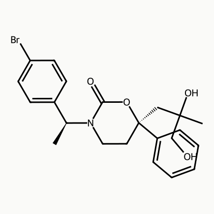 C[C@@H](c1ccc(Br)cc1)N1CC[C@](CC(C)(O)CO)(c2ccccc2)OC1=O